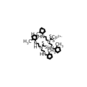 Cc1ccccc1NCCN(CCNc1ccccc1C)C(=S)[S-].Cc1ccccc1NCCN(CCNc1ccccc1C)C(=S)[S-].[Cu+2]